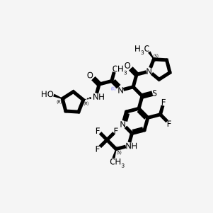 C/C(=N\C(C(=O)N1CCC[C@@H]1C)C(=S)c1cnc(N[C@@H](C)C(F)(F)F)cc1C(F)F)C(=O)N[C@@H]1CC[C@@H](O)C1